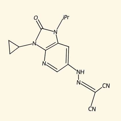 CC(C)n1c(=O)n(C2CC2)c2ncc(NN=C(C#N)C#N)cc21